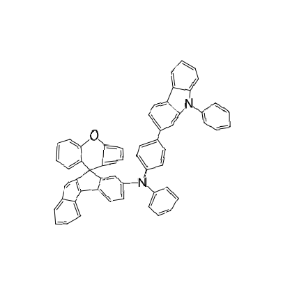 c1ccc(N(c2ccc(-c3ccc4c5ccccc5n(-c5ccccc5)c4c3)cc2)c2ccc3c(c2)C2(c4ccccc4Oc4ccccc42)c2ccc4ccccc4c2-3)cc1